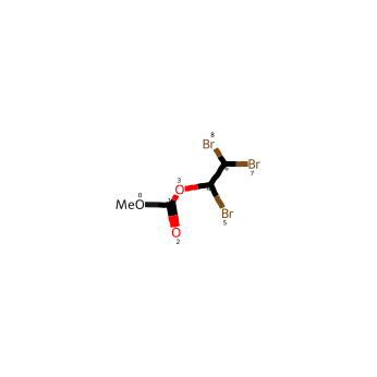 COC(=O)OC(Br)C(Br)Br